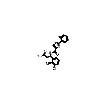 O=C(O)CC(NC(=O)c1csc(-c2ccccc2F)n1)c1cccc(Cl)c1Cl